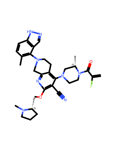 C=C(F)C(=O)N1CCN(c2c(C#N)c(OC[C@@H]3CCCN3C)nc3c2CCN(c2c(C)ccc4[nH]ncc24)C3)C[C@@H]1C